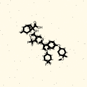 COC1(C)CCC(Oc2ccc3c(-c4ncc(C(=O)NC5(C(=O)O)CC6CC(C)CC5C6)c(C(F)(F)F)n4)cn(C4CCC(F)(F)CC4)c3c2)CC1